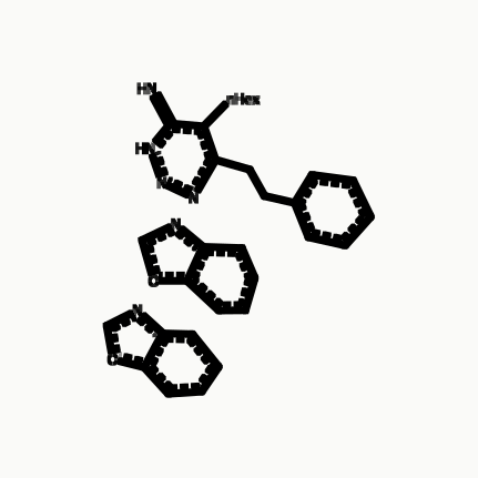 CCCCCCc1c(CCc2ccccc2)nn[nH]c1=N.c1ccc2ocnc2c1.c1ccc2ocnc2c1